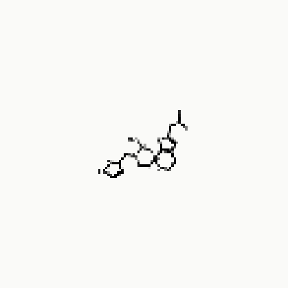 C[C@H]1C[C@@]2(CCN1Cc1cc[nH]n1)OCCc1cc(CC(F)F)sc12